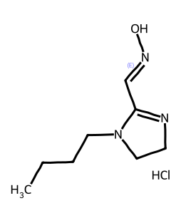 CCCCN1CCN=C1/C=N/O.Cl